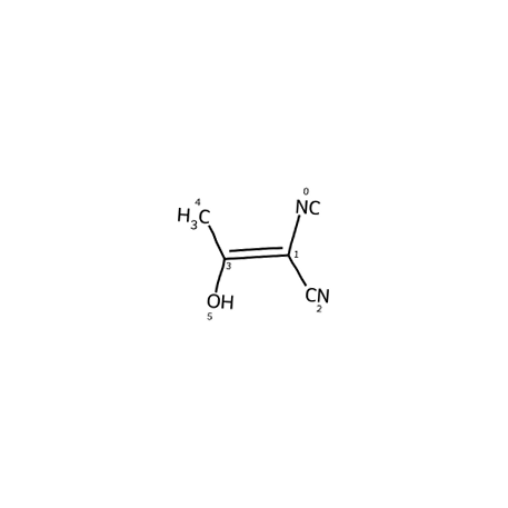 [C-]#[N+]/C(C#N)=C(\C)O